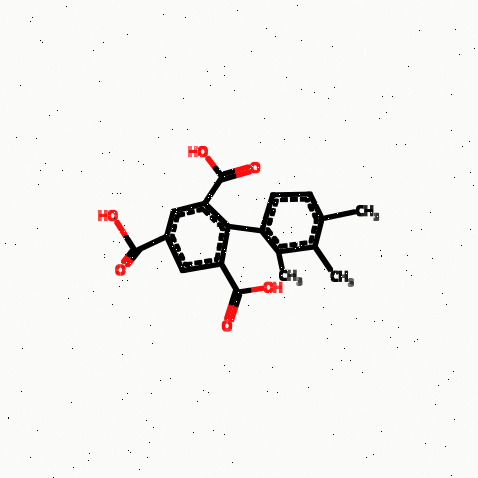 Cc1ccc(-c2c(C(=O)O)cc(C(=O)O)cc2C(=O)O)c(C)c1C